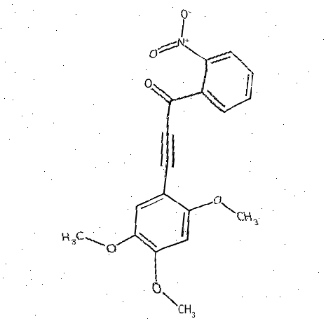 COc1cc(OC)c(OC)cc1C#CC(=O)c1ccccc1[N+](=O)[O-]